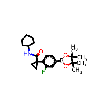 CC1(C)OB(c2ccc(C3(C(=O)NC4CCCCC4)CC3)c(F)c2)OC1(C)C